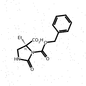 CC[C@@]1(C(=O)O)CNC(=O)N1C(=O)OCc1ccccc1